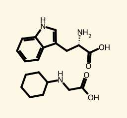 N[C@@H](Cc1c[nH]c2ccccc12)C(=O)O.O=C(O)CNC1CCCCC1